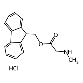 CNCC(=O)OCC1c2ccccc2-c2ccccc21.Cl